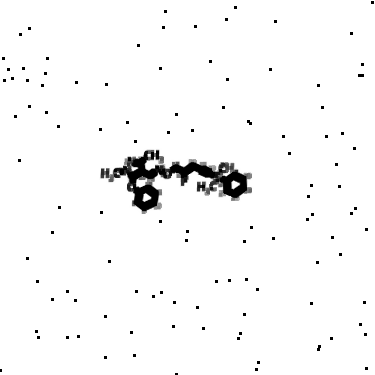 Cc1nn(C)c(Oc2ccccc2)c1C=NOCC(F)=CC#C[Si](C)(C)c1ccccc1